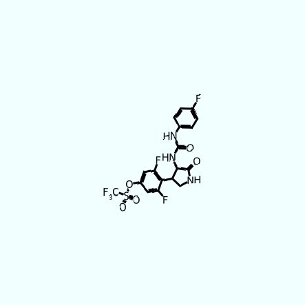 O=C(Nc1ccc(F)cc1)NC1C(=O)NCC1c1c(F)cc(OS(=O)(=O)C(F)(F)F)cc1F